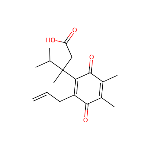 C=CCC1=C(C(C)(CC(=O)O)C(C)C)C(=O)C(C)=C(C)C1=O